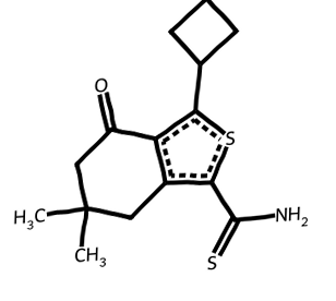 CC1(C)CC(=O)c2c(C3CCC3)sc(C(N)=S)c2C1